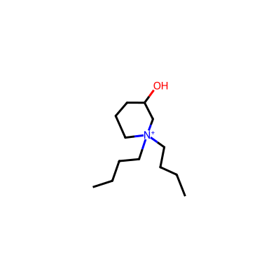 CCCC[N+]1(CCCC)CCCC(O)C1